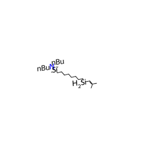 CCCCN(CCCC)[Si](C)(C)CCCCCCCC[SiH2]C=C(C)C